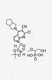 CC1(C)O[C@@H]2[C@H](O1)[C@@H](COC(CO)P(=O)(O)O)O[C@H]2n1ccc2c(N3CC4CCCC4C3)c(C#N)c(Cl)nc21